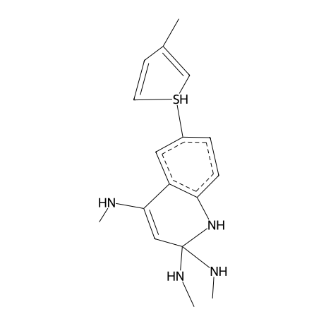 CNC1=CC(NC)(NC)Nc2ccc([SH]3C=CC(C)=C3)cc21